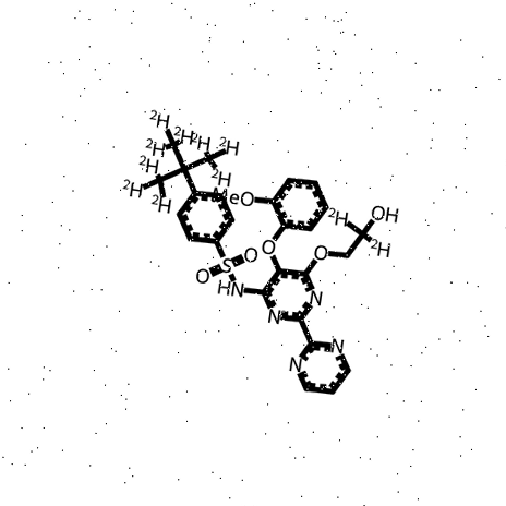 [2H]C([2H])(O)COc1nc(-c2ncccn2)nc(NS(=O)(=O)c2ccc(C(C([2H])([2H])[2H])(C([2H])([2H])[2H])C([2H])([2H])[2H])cc2)c1Oc1ccccc1OC